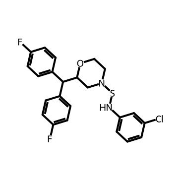 Fc1ccc(C(c2ccc(F)cc2)C2CN(SNc3cccc(Cl)c3)CCO2)cc1